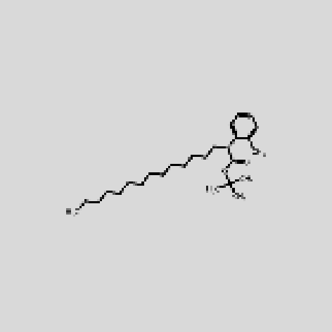 CCCCCCCCCCCCCCN(C(=O)OC(C)(C)C)c1ccccc1C